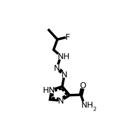 CC(F)CN/N=N/c1[nH]cnc1C(N)=O